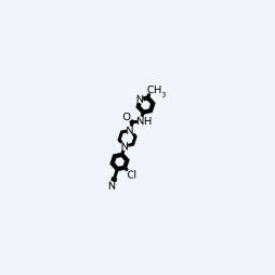 Cc1ccc(NC(=O)N2CCN(c3ccc(C#N)c(Cl)c3)CC2)cn1